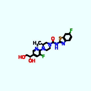 C[C@H]1CN(C(=O)Nc2nc3ccc(F)cc3s2)CCN1c1ncc([C@H](O)CO)cc1F